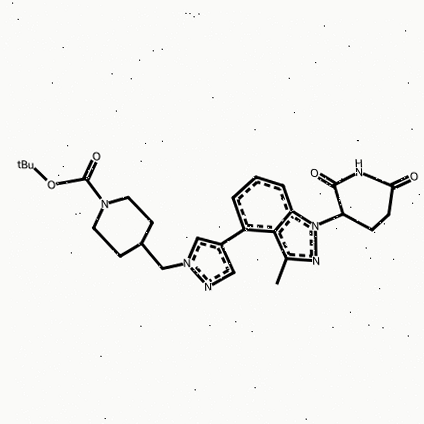 Cc1nn(C2CCC(=O)NC2=O)c2cccc(-c3cnn(CC4CCN(C(=O)OC(C)(C)C)CC4)c3)c12